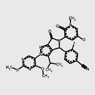 COc1ncc(-n2nc3c(c2C(C)C)C(c2ccc(C#N)cc2F)N(c2cc(Cl)cn(C)c2=O)C3=O)c(OC)n1